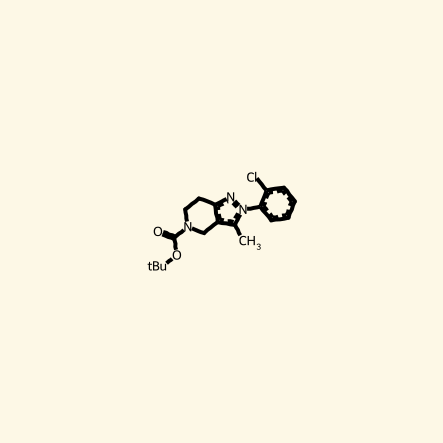 Cc1c2c(nn1-c1ccccc1Cl)CCN(C(=O)OC(C)(C)C)C2